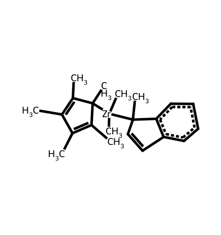 CC1=C(C)[C](C)([Zr]([CH3])([CH3])[C]2(C)C=Cc3ccccc32)C(C)=C1C